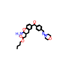 CCCCOC(=O)CC1Cc2cc(C(=O)c3ccc(C=NN4CCOCC4)cc3)ccc2OC1N